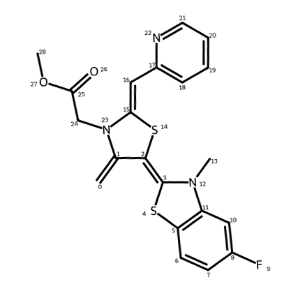 C=C1/C(=C2\Sc3ccc(F)cc3N2C)S/C(=C\c2ccccn2)N1CC(=O)OC